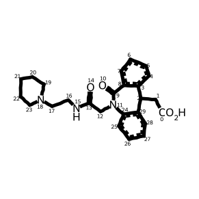 O=C(O)CC1c2ccccc2C(=O)N(CC(=O)NCCN2CCCCC2)c2ccccc21